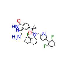 NCc1n[nH]c(=O)c2ccc(C3(C(=O)N(Cc4ccc(-c5c(F)cccc5F)cn4)C4CCCc5cccc(F)c54)CC3)cc12